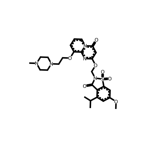 COc1cc(C(C)C)c2c(c1)S(=O)(=O)N(COc1cc(=O)n3cccc(OCCN4CCN(C)CC4)c3n1)C2=O